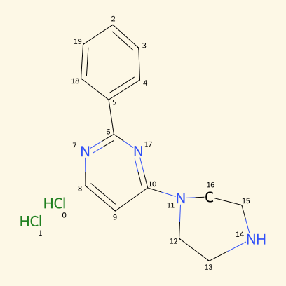 Cl.Cl.c1ccc(-c2nccc(N3CCNCC3)n2)cc1